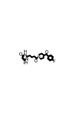 CC(C)c1cc(=O)[nH]c(CCCC(=O)N2CCC(C(=O)c3ccc(F)cc3)CC2)n1